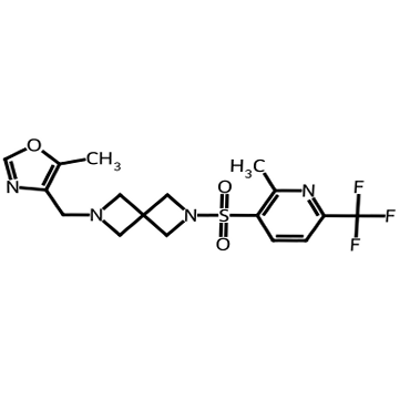 Cc1nc(C(F)(F)F)ccc1S(=O)(=O)N1CC2(CN(Cc3ncoc3C)C2)C1